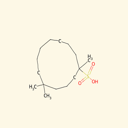 CC1(C)CCCCCCCC(C)(S(=O)(=O)O)CCC1